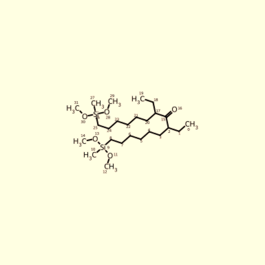 CCC(CCCCCC[Si](C)(OC)OC)C(=O)C(CC)CCCCCC[Si](C)(OC)OC